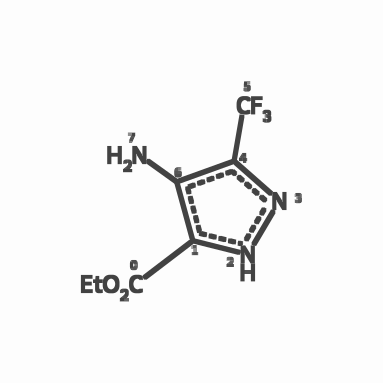 CCOC(=O)c1[nH]nc(C(F)(F)F)c1N